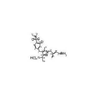 Cc1c(Cc2ccc(S(=O)(=O)N(C)C)c(Cl)c2)c(C(C)C)nn1CC(F)=CCN.Cl